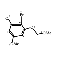 COCOc1cc(OC)cc(Cl)c1Br